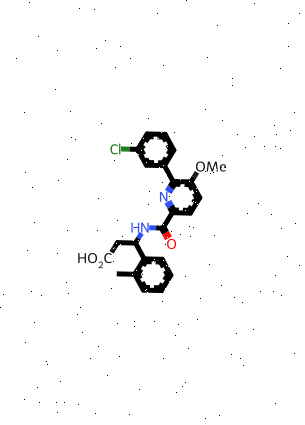 COc1ccc(C(=O)NC(CC(=O)O)c2ccccc2C)nc1-c1cccc(Cl)c1